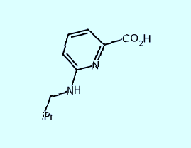 CC(C)CNc1cccc(C(=O)O)n1